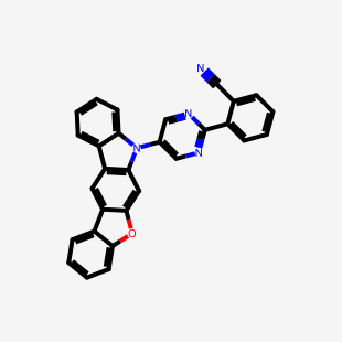 N#Cc1ccccc1-c1ncc(-n2c3ccccc3c3cc4c(cc32)oc2ccccc24)cn1